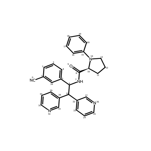 N#Cc1cccc(C(NC(=O)[C@@H]2CCCN2c2ccccc2)C(c2cccnc2)c2cccnc2)c1